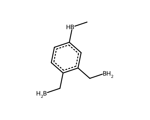 BCc1ccc(BC)cc1CB